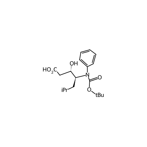 CC(C)C[C@@H]([C@@H](O)CC(=O)O)N(C(=O)OC(C)(C)C)c1ccccc1